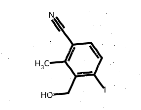 Cc1c(C#N)ccc(I)c1CO